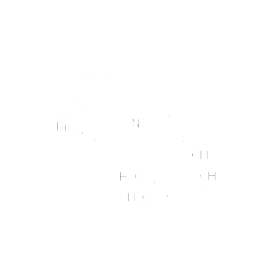 CC1(C)CCC(C)(C)c2cc3c(cc21)c1ccccc1n3-c1ccc(Br)c2ccccc12